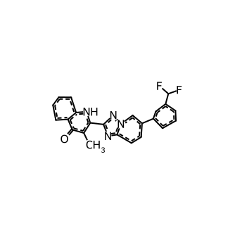 Cc1c(-c2nc3ccc(-c4cccc(C(F)F)c4)cn3n2)[nH]c2ccccc2c1=O